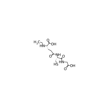 CCN[C@@H](CCC(=O)N[C@@H](CS)C(=O)NCC(=O)O)C(=O)O